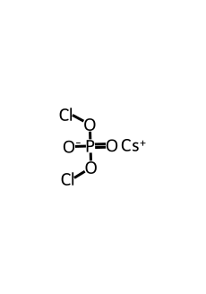 O=P([O-])(OCl)OCl.[Cs+]